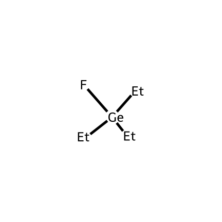 C[CH2][Ge]([F])([CH2]C)[CH2]C